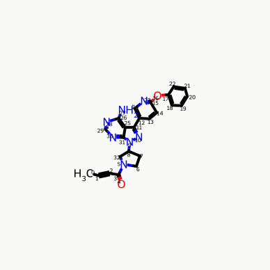 CC#CC(=O)N1CCC(n2nc(-c3ccc(Oc4ccccc4)nc3)c3c(N)ncnc32)C1